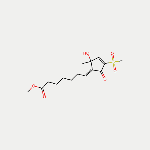 COC(=O)CCCCCC=C1C(=O)C(S(C)(=O)=O)=CC1(C)O